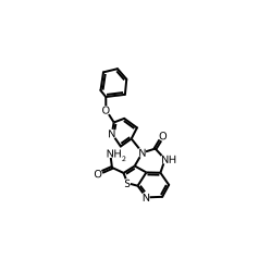 NC(=O)c1sc2nccc3c2c1N(c1ccc(Oc2ccccc2)nc1)C(=O)N3